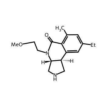 CCc1cc(C)c2c(c1)[C@H]1CNC[C@@H]1N(CCOC)C2=O